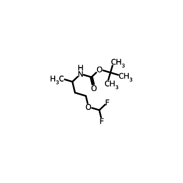 CC(CCOC(F)F)NC(=O)OC(C)(C)C